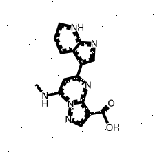 CNc1cc(-c2cnc3[nH]cccc2-3)nc2c(C(=O)O)cnn12